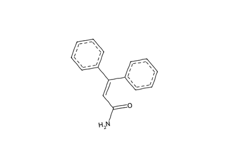 NC(=O)C=C(c1ccccc1)c1ccccc1